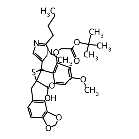 CCCCc1ncc(C2(c3ccc(OC)cc3OCC(=O)OC(C)(C)C)SC2(Cc2ccc3c(c2)OCO3)C(=O)O)n1C